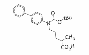 C[C@@H](CCCN(C(=O)OC(C)(C)C)c1ccc(-c2ccccc2)cc1)C(=O)O